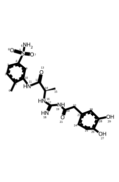 Cc1ccc(S(N)(=O)=O)cc1NC(=O)[C@@H](C)NC(=N)NC(=O)Cc1ccc(O)c(O)c1